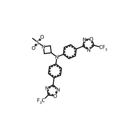 CS(=O)(=O)N1CC(N(c2ccc(-c3noc(C(F)(F)F)n3)cc2)c2ccc(-c3noc(C(F)(F)F)n3)cc2)C1